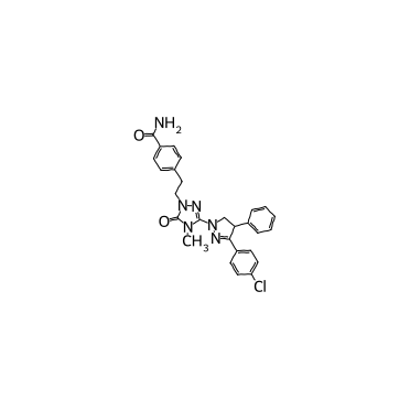 Cn1c(N2CC(c3ccccc3)C(c3ccc(Cl)cc3)=N2)nn(CCc2ccc(C(N)=O)cc2)c1=O